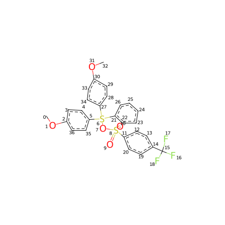 COc1ccc(S(OS(=O)(=O)c2ccc(C(F)(F)F)cc2)(c2ccccc2)c2ccc(OC)cc2)cc1